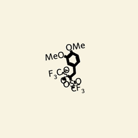 COc1ccc(CC(S(=O)(=O)C(F)(F)F)S(=O)(=O)C(F)(F)F)cc1OC